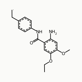 [CH2]Cc1ccc(NC(=O)c2cc(OCC)c(OC)cc2N)cc1